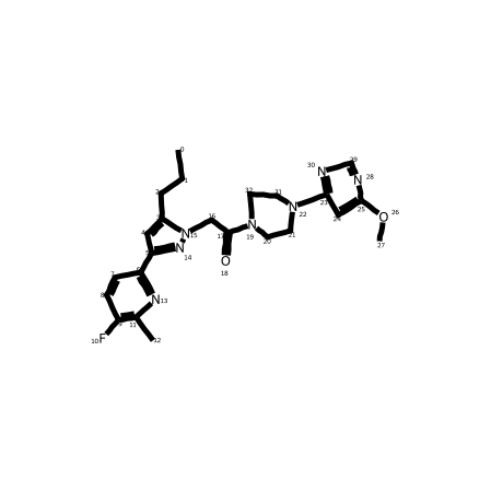 CCCc1cc(-c2ccc(F)c(C)n2)nn1CC(=O)N1CCN(c2cc(OC)ncn2)CC1